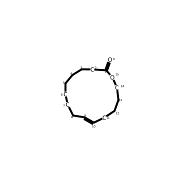 O=C1CCCCCCC/C=C/CCCCO1